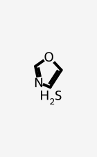 S.c1cocn1